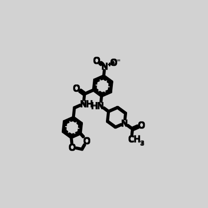 CC(=O)N1CCC(Nc2ccc([N+](=O)[O-])cc2C(=O)NCc2ccc3c(c2)OCO3)CC1